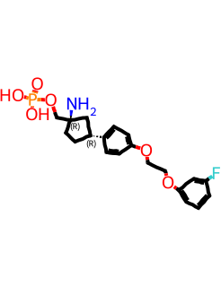 N[C@]1(COP(=O)(O)O)CC[C@@H](c2ccc(OCCOc3cccc(F)c3)cc2)C1